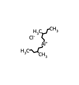 CCCC(C)C[CH2][Al+][CH2]CC(C)CCC.[Cl-]